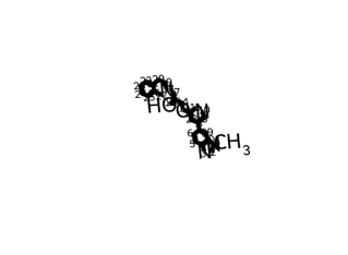 Cn1cnc2ccc(-c3cncc(OCC(O)CN4CCc5ccccc5C4)c3)cc21